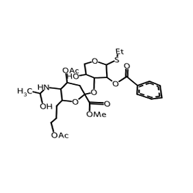 CCSC1OCC(O)C(OC2(C(=O)OC)CC(OC(C)=O)C(NC(C)O)C(CCCOC(C)=O)O2)C1OC(=O)c1ccccc1